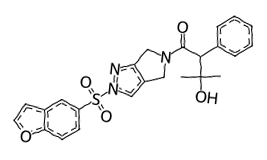 CC(C)(O)C(C(=O)N1Cc2cn(S(=O)(=O)c3ccc4occc4c3)nc2C1)c1ccccc1